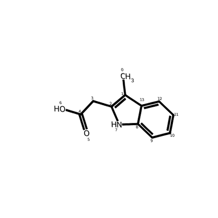 Cc1c(CC(=O)O)[nH]c2ccccc12